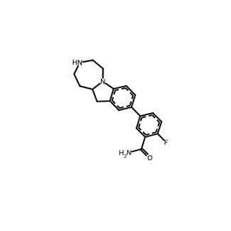 NC(=O)c1cc(-c2ccc3c(c2)CC2CCNCCN32)ccc1F